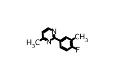 Cc1ccnc(-c2ccc(F)c(C)c2)n1